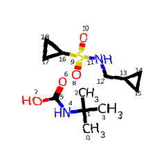 CC(C)(C)NC(=O)O.O=S(=O)(NCC1CC1)C1CC1